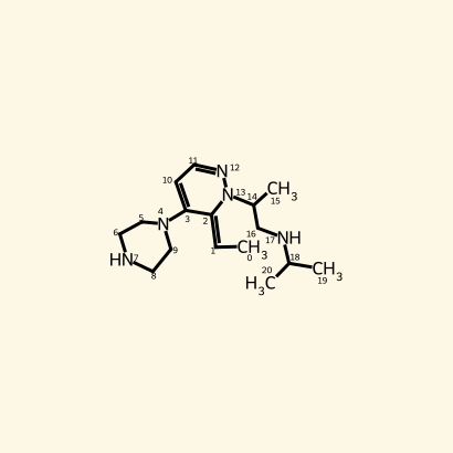 C/C=C1/C(N2CCNCC2)=CC=NN1C(C)CNC(C)C